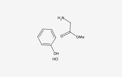 COC(=O)CN.Cl.Oc1ccccc1